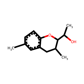 Cc1ccc2c(c1)CC(C)C(C(C)O)O2